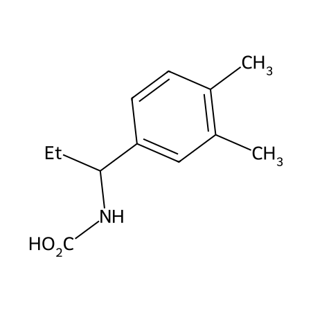 CCC(NC(=O)O)c1ccc(C)c(C)c1